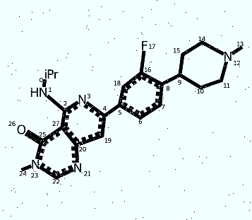 CC(C)Nc1nc(-c2ccc(C3CCN(C)CC3)c(F)c2)cc2ncn(C)c(=O)c12